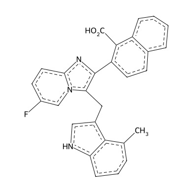 Cc1cccc2[nH]cc(Cc3c(-c4ccc5ccccc5c4C(=O)O)nc4ccc(F)cn34)c12